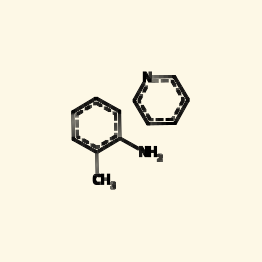 Cc1ccccc1N.c1ccncc1